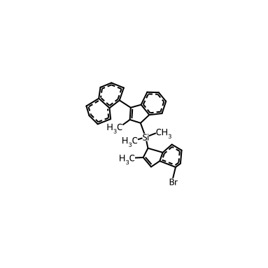 CC1=Cc2c(Br)cccc2C1[Si](C)(C)C1C(C)=C(c2cccc3ccccc23)c2ccccc21